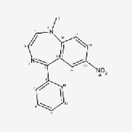 CN1C=CN=C(c2ccccc2)c2cc([N+](=O)[O-])ccc21